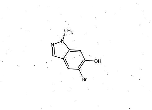 Cn1ncc2cc(Br)c(O)cc21